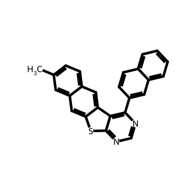 Cc1ccc2cc3c(cc2c1)sc1ncnc(-c2ccc4ccccc4c2)c13